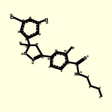 CCCCNC(=O)c1ccc(C2=NOC(C)(c3cc(Cl)cc(Cl)c3)C2)cc1C